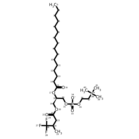 CCCCCCCCCCCCCCCC(=O)O[C@H](COC(=O)CC(C)C(F)(F)F)COP(=O)([O-])OCC[N+](C)(C)C